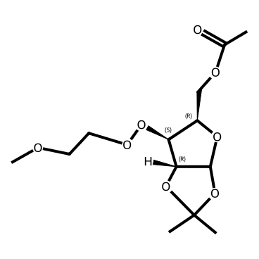 COCCOO[C@H]1[C@@H](COC(C)=O)OC2OC(C)(C)O[C@@H]21